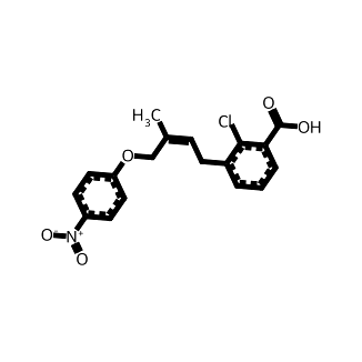 CC(=CCc1cccc(C(=O)O)c1Cl)COc1ccc([N+](=O)[O-])cc1